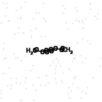 C=CC(=O)CCCCCCOc1ccc(OC(=O)c2ccc(OC(=O)c3ccc(OCCCCCCOC(=O)C=C)cc3)cc2)cc1